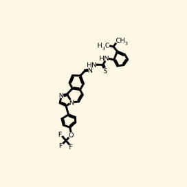 CC(C)c1ccccc1NC(=S)NN=Cc1ccc2c(ccn3c(-c4ccc(OC(F)(F)F)cc4)cnc23)c1